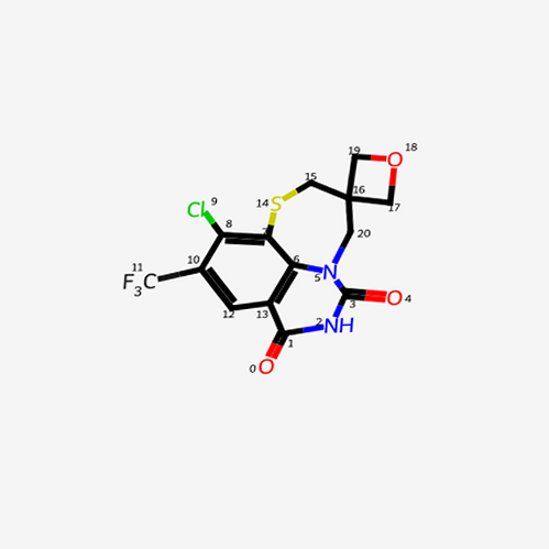 O=c1[nH]c(=O)n2c3c(c(Cl)c(C(F)(F)F)cc13)SCC1(COC1)C2